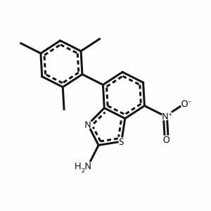 Cc1cc(C)c(-c2ccc([N+](=O)[O-])c3sc(N)nc23)c(C)c1